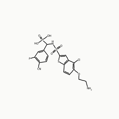 N#Cc1ccc(C(NS(=O)(=O)c2cc3c(Cl)c(OCCN)ccc3s2)P(=O)(O)O)cc1F